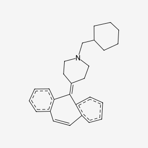 C1=Cc2ccccc2C(=C2CCN(CC3CCCCC3)CC2)c2ccccc21